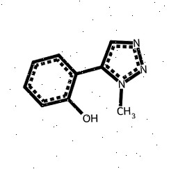 Cn1nncc1-c1ccccc1O